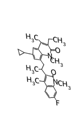 CCc1c(C)c2cc(C3CC3)cc(CC(C)c3c(C)c4ccc(F)cc4n(C)c3=O)c2n(C)c1=O